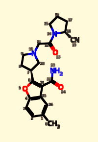 Cc1ccc2oc([C@H]3CCN(CC(=O)N4CCC[C@H]4C#N)C3)c(C(N)=O)c2c1